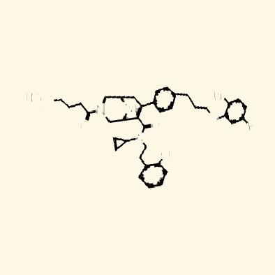 O=C(O)CCCC(=O)N1CC2CC(c3ccc(CCCOc4cc(F)ccc4Br)cc3)=C(C(=O)N(CCc3ccccc3Cl)C3CC3)C(C1)N2